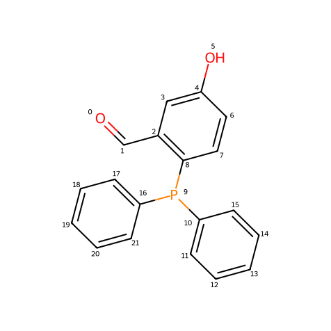 O=Cc1cc(O)ccc1P(c1ccccc1)c1ccccc1